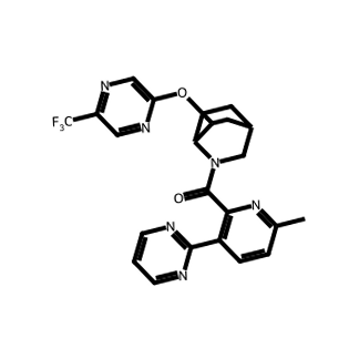 Cc1ccc(-c2ncccn2)c(C(=O)N2CC3CCC2C(Oc2cnc(C(F)(F)F)cn2)C3)n1